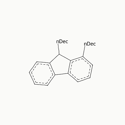 CCCCCCCCCCc1cccc2c1C(CCCCCCCCCC)c1ccccc1-2